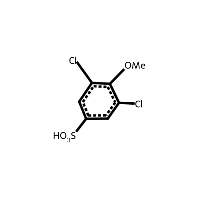 COc1c(Cl)cc(S(=O)(=O)O)cc1Cl